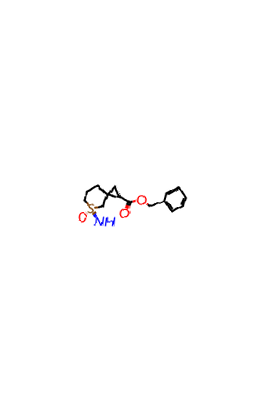 N=S1(=O)CCCC2(CC2C(=O)OCc2ccccc2)C1